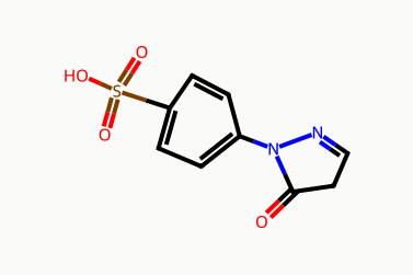 O=C1CC=NN1c1ccc(S(=O)(=O)O)cc1